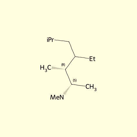 CCC(CC(C)C)[C@@H](C)[C@H](C)NC